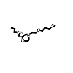 CCCNC[C@@H]1CN(CCOCCCSC)CCO1